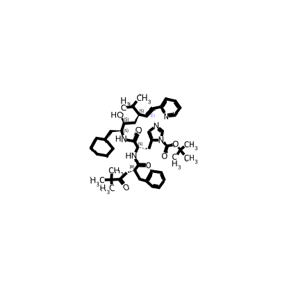 CC(C)[C@@H](/C=C/c1ccccn1)C[C@H](O)[C@H](CC1CCCCC1)NC(=O)[C@H](Cc1cncn1C(=O)OC(C)(C)C)NC(=O)[C@@H](CC(=O)C(C)(C)C)Cc1ccccc1